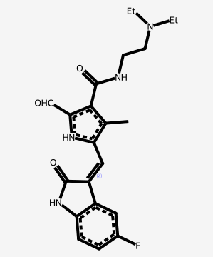 CCN(CC)CCNC(=O)c1c(C=O)[nH]c(/C=C2\C(=O)Nc3ccc(F)cc32)c1C